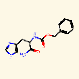 NC(=O)C(Cc1c[nH]cn1)NC(=O)OCc1ccccc1